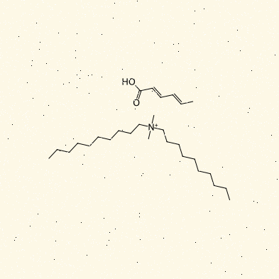 C/C=C/C=C/C(=O)O.CCCCCCCCCC[N+](C)(C)CCCCCCCCCC